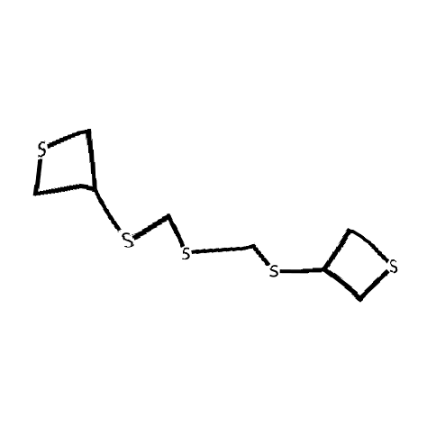 C(SCSC1CSC1)SC1CSC1